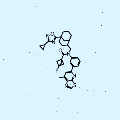 Cc1cc(-c2cccc(N(CC3CCC4(c5nc(C6CC6)no5)CCCC3C4)C(=O)C34CC(F)(C3)C4)c2)nc2scnc12